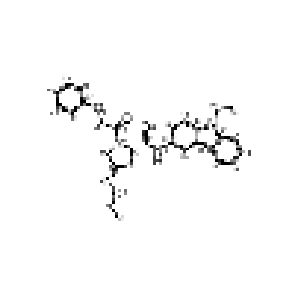 CCO/N=C1\C[C@@H](C(=O)Nc2ccc3c(c2)c2ccccc2n3CC)N(C(=O)COc2ccccc2)C1